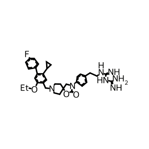 CCOc1cc(-c2ccc(F)cc2)c(C2CC2)cc1CN1CCC2(CC1)CN(c1ccc(CCNC(=N)NC(=N)N)cc1)C(=O)O2